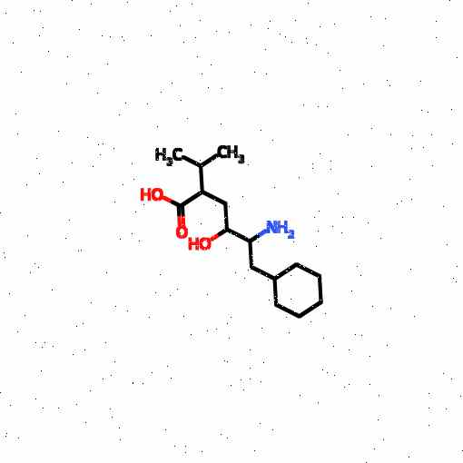 CC(C)C(CC(O)C(N)CC1CCCCC1)C(=O)O